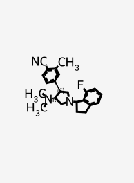 Cc1cc([C@H]2CN(C3CCc4cccc(F)c43)C[C@@H]2N(C)C)ccc1C#N